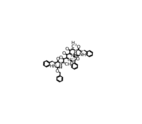 C[C@H](NC(=O)[C@H](Cc1ccccc1)NC(=O)OCc1ccccc1)C(=O)C(=[N+]=[N-])C(=O)C(=[N+]=[N-])C(=O)[C@H](C)NC(=O)[C@H](Cc1ccccc1)NC(=O)OCc1ccccc1